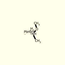 CNOC.[PbH2].[SnH2]